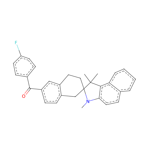 CN1c2ccc3ccccc3c2C(C)(C)C12CCc1cc(C(=O)c3ccc(F)cc3)ccc1C2